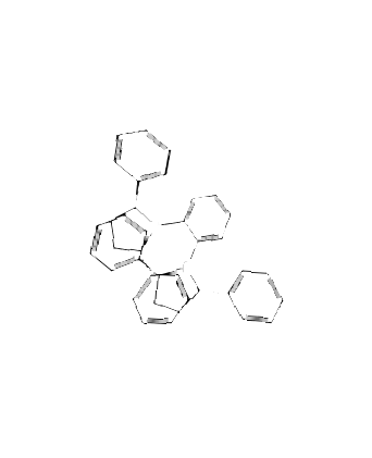 c1ccc([C@@H]2CC[C@@H](c3ccccc3)P2c2ccccc2P2[C@H](c3ccccc3)CC[C@H]2c2ccccc2)cc1